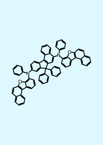 c1ccc(N(c2ccc3c(c2)C(c2ccccc2)(c2ccccc2)c2cc(N(c4ccccc4)c4cccc5c4oc4ccc6ccccc6c45)c4ccccc4c2-3)c2cccc3c2oc2ccc4ccccc4c23)cc1